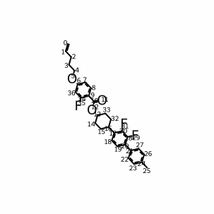 C=CCCCOc1ccc(C(=O)OC2CCC(c3ccc(-c4ccc(C)cc4)c(F)c3F)CC2)c(F)c1